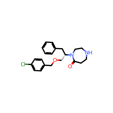 O=C1CCNCCN1[C@H](COCc1ccc(Cl)cc1)Cc1ccccc1